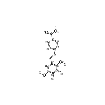 COC(=O)c1ccc(C=Cc2cc(OC)c(C)c(C)c2OC)cc1